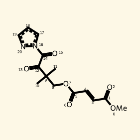 COC(=O)/C=C/C(=O)OCC(C)(C)C(=O)C(=O)n1cccn1